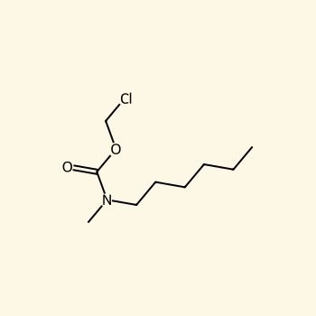 CCCCCCN(C)C(=O)OCCl